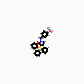 O=C1C([P](c2ccccc2)(c2ccccc2)c2ccccc2)CCN1Cc1ccc([N+](=O)[O-])cc1